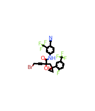 N#Cc1ccc(NC(=O)C(O)(C#CCBr)CC2(c3cc(C(F)(F)F)ccc3F)CC2)cc1C(F)(F)F